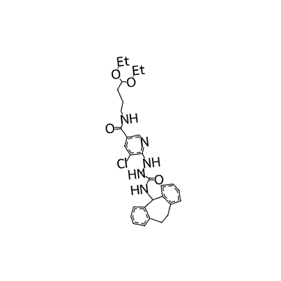 CCOC(CCCNC(=O)c1cnc(NNC(=O)NC2c3ccccc3CCc3ccccc32)c(Cl)c1)OCC